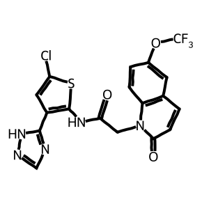 O=C(Cn1c(=O)ccc2cc(OC(F)(F)F)ccc21)Nc1sc(Cl)cc1-c1ncn[nH]1